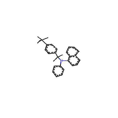 CC(C)(C)c1ccc(C(C)(C)N(c2ccccc2)c2cccc3ccccc23)cc1